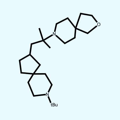 CC(C)(C)N1CCC2(CCC(CC(C)(C)N3CCC4(CCOC4)CC3)C2)CC1